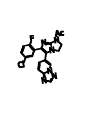 CC(=O)N1CCn2c1nc(-c1cc(Cl)ccc1F)c2-c1ccc2ncnn2c1